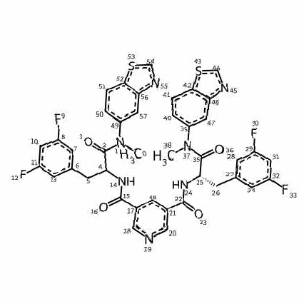 CN(C(=O)C(Cc1cc(F)cc(F)c1)NC(=O)c1cncc(C(=O)N[C@@H](Cc2cc(F)cc(F)c2)C(=O)N(C)c2ccc3scnc3c2)c1)c1ccc2scnc2c1